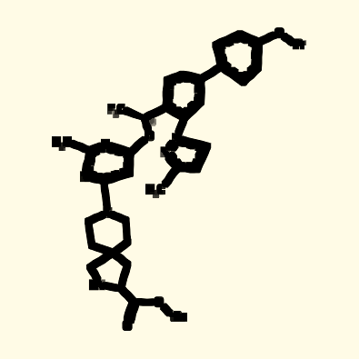 Cc1ccn(-c2cc(-c3ccc(OC(C)C)cc3)ccc2[C@@H](Oc2cc(N3CCC4(CC3)CNC(C(=O)OC(C)(C)C)C4)nc(N)n2)C(F)(F)F)n1